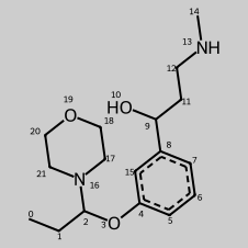 CCC(Oc1cccc(C(O)CCNC)c1)N1CCOCC1